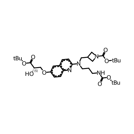 CC(C)(C)OC(=O)NCCCN(CC1CN(C(=O)OC(C)(C)C)C1)c1ccc2cc(OC[C@H](O)C(=O)OC(C)(C)C)ccc2n1